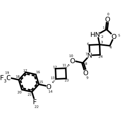 O=C1NC2(CO1)CN(C(=O)O[C@H]1C[C@@H](Oc3ccc(C(F)(F)F)cc3F)C1)C2